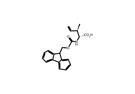 C=C[C@@H](C)[C@@H](NC(=O)OCC1c2ccccc2-c2ccccc21)C(=O)O